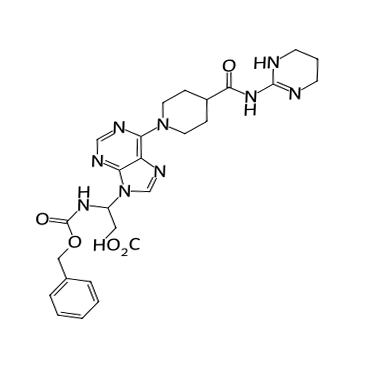 O=C(O)CC(NC(=O)OCc1ccccc1)n1cnc2c(N3CCC(C(=O)NC4=NCCCN4)CC3)ncnc21